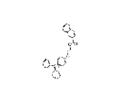 O=C(OCCOc1ccc([SH](c2ccccc2)c2ccccc2)cc1)c1ccc2ccccc2c1